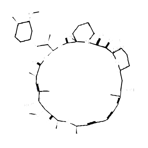 CO[C@@H]1C[C@H](C[C@@H](C)[C@@H]2CC(=O)[C@H](C)/C=C(\C)[C@@H](O)[C@@H](OC)C(=O)[C@H](C)C[C@H](C)/C=C/C=C/C=C(\C)[C@@H](O)C[C@@H]3CC[C@@H](C)[C@@](O)(O3)C(=O)C(=O)N3CCCC[C@H]3C(=O)O2)CC[C@H]1C